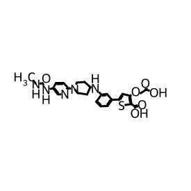 CNC(=O)Nc1ccc(N2CCC(Nc3cccc(-c4cc(OCC(=O)O)c(C(=O)O)s4)c3)CC2)nc1